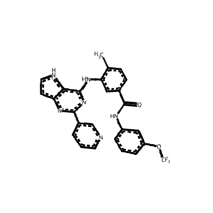 Cc1ccc(C(=O)Nc2cccc(OC(F)(F)F)c2)cc1Nc1nc(-c2cccnc2)nc2cc[nH]c12